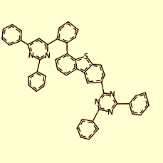 c1ccc(-c2cc(-c3ccccc3-c3cccc4c3sc3ccc(-c5nc(-c6ccccc6)nc(-c6ccccc6)n5)cc34)nc(-c3ccccc3)n2)cc1